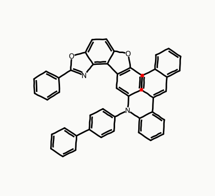 c1ccc(-c2ccc(N(c3ccc4oc5ccc6oc(-c7ccccc7)nc6c5c4c3)c3ccccc3-c3ccc4ccccc4c3)cc2)cc1